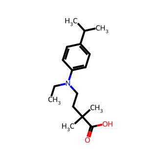 CCN(CCC(C)(C)C(=O)O)c1ccc(C(C)C)cc1